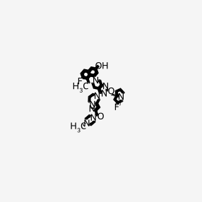 CCc1c(F)ccc2cc(O)cc(N3CCc4c(nc(OC[C@@]56CCCN5C[C@H](F)C6)nc4N4CCCn5nc(C(=O)N6CCN(C)CC6)cc5C4)C3)c12